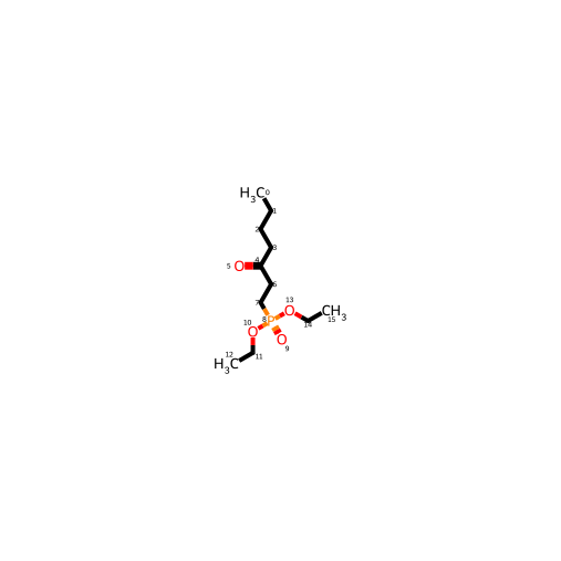 CCCCC(=O)CCP(=O)(OCC)OCC